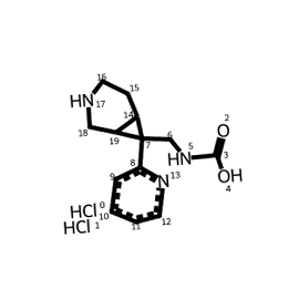 Cl.Cl.O=C(O)NCC1(c2ccccn2)C2CCNCC21